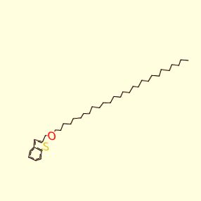 CCCCCCCCCCCCCCCCCCCCCCCCCCCCOCc1cc2ccccc2s1